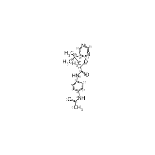 CC(=O)Nc1ccc(NC(=O)COc2ncncc2C(C)(C)C)cc1